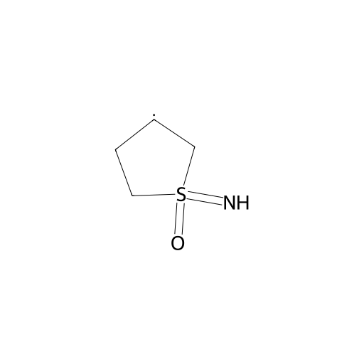 N=S1(=O)C[CH]CC1